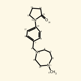 CN1CCCN(Cc2ccc(N3CCCC3=O)cc2)CC1